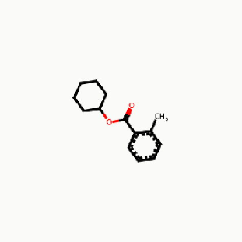 Cc1ccccc1C(=O)OC1CCCCC1